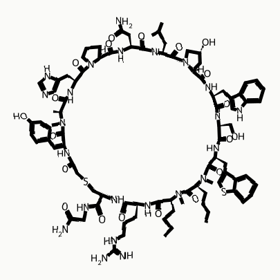 CCCC[C@H]1C(=O)N(C)[C@@H](CCCC)C(=O)N[C@@H](CCCNC(=N)N)C(=O)NC(C(=O)NCC(N)=O)CSCC(=O)N/C(=C/c2ccc(O)cc2)C(=O)N(C)[C@@H](C)C(=O)N[C@@H](Cc2cnc[nH]2)C(=O)N2CCC[C@H]2C(=O)N[C@@H](CC(N)=O)C(=O)N[C@@H](CC(C)C)C(=O)N2C[C@H](O)C[C@H]2C(=O)N[C@@H](Cc2c[nH]c3ccccc23)C(=O)N[C@@H](CO)C(=O)N[C@@H](Cc2csc3ccccc23)C(=O)N1C